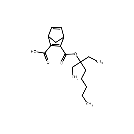 CCCCCC(CC)(CC)OC(=O)C1=C(C(=O)O)C2C=CC1C2